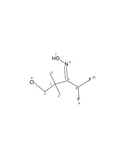 CC(C)(CCl)/C(=N\O)C(F)F